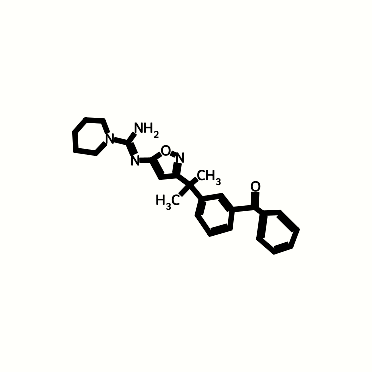 CC(C)(c1cccc(C(=O)c2ccccc2)c1)c1cc(/N=C(\N)N2CCCCC2)on1